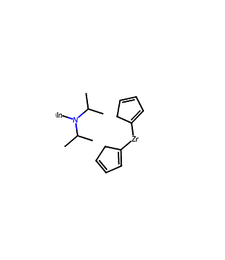 C1=CC[C]([Zr][C]2=CC=CC2)=C1.CC(C)[N]([In])C(C)C